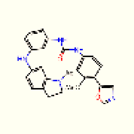 COc1cc(NC(=O)Nc2cccc(Nc3ccc4c(c3)N(C(C)=O)CC4)c2)ccc1-c1cnco1